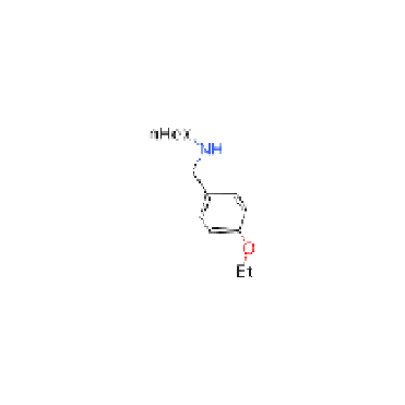 CCCCCCNCc1ccc(OCC)cc1